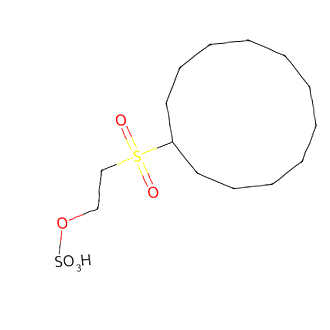 O=S(=O)(O)OCCS(=O)(=O)C1CCCCCCCCCCC1